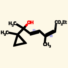 CCOC(=O)/C=C(C)\C=C\C(C)(O)C1(C)CC1